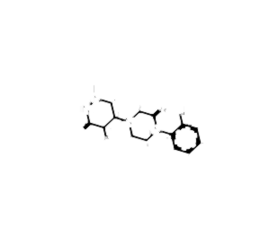 O=C1NNCC(N2CCN(c3ccccc3C(F)(F)F)C(=O)C2)C1Cl